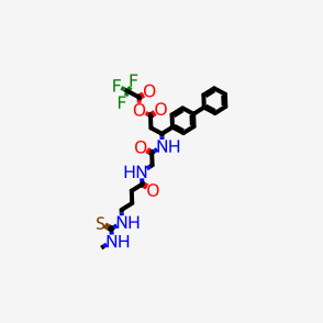 CNC(=S)NCCCC(=O)NCC(=O)NC(CC(=O)OC(=O)C(F)(F)F)c1ccc(-c2ccccc2)cc1